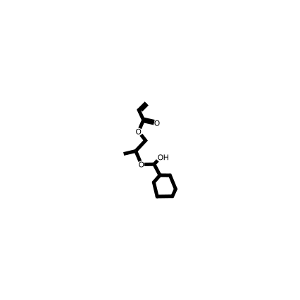 C=CC(=O)OCC(C)OC(O)C1CCCCC1